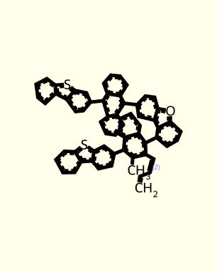 C=C/C=C\c1c(C)c(-c2ccc3c(c2)sc2ccccc23)c2ccccc2c1-c1cccc2oc3ccc(-c4c5ccccc5c(-c5ccc6c(c5)sc5ccccc56)c5ccccc45)cc3c12